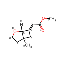 COC(=O)C=C1CC2(C)CCO[C@H]12